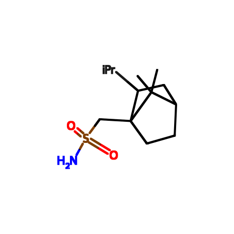 CC(C)C1CC2CCC1(CS(N)(=O)=O)C2(C)C